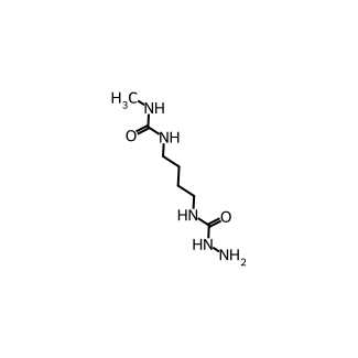 CNC(=O)NCCCCNC(=O)NN